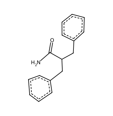 NC(=O)C(Cc1ccccc1)Cc1ccccc1